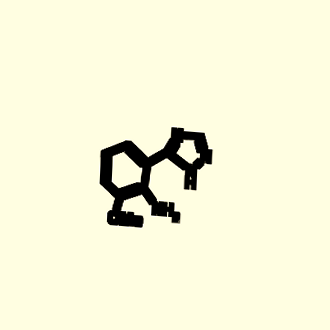 COc1cccc(-c2ncn[nH]2)c1N